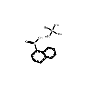 CCCC[N+](CCCC)(CCCC)CCCC.O=S(O)c1cccc2ccccc12